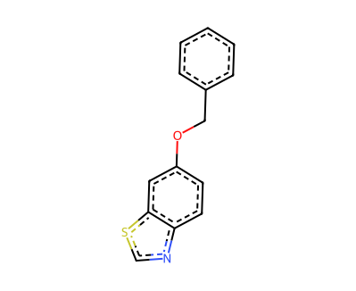 c1ccc(COc2ccc3ncsc3c2)cc1